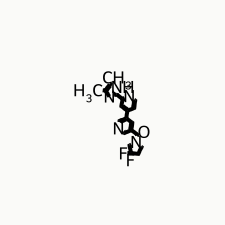 Cc1nc(-c2cc(-c3cncc(C(=O)N4CCC(F)(F)C4)c3)ccn2)[nH]c1C